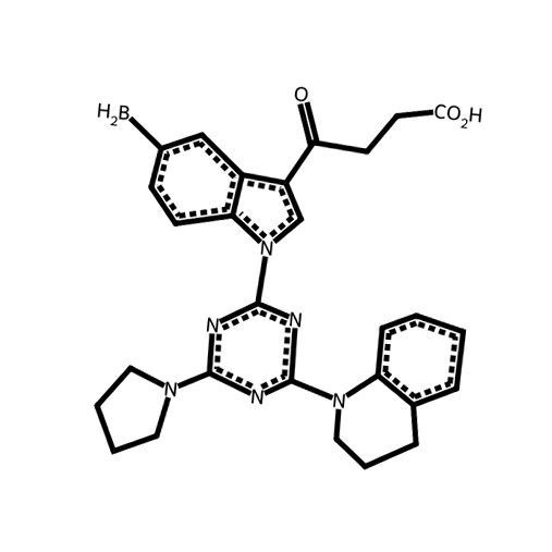 Bc1ccc2c(c1)c(C(=O)CCC(=O)O)cn2-c1nc(N2CCCC2)nc(N2CCCc3ccccc32)n1